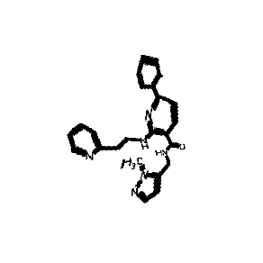 Cn1nccc1CNC(=O)c1ccc(-c2ccccc2)nc1NCCc1ccccn1